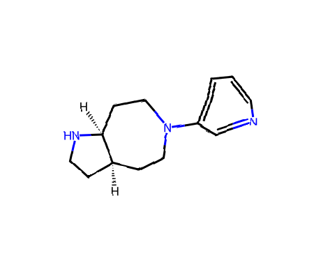 c1cncc(N2CC[C@H]3CCN[C@H]3CC2)c1